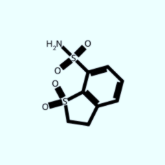 NS(=O)(=O)c1cccc2c1S(=O)(=O)CC2